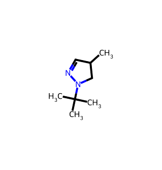 CC1C=NN(C(C)(C)C)C1